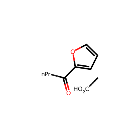 CC(=O)O.CCCC(=O)c1ccco1